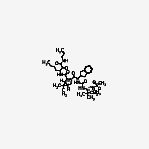 C=CCNC(=O)C(=O)C(CCCC)NC(=O)[C@@H]1[C@@H]2[C@H](CN1C(=O)[C@@H](NC(=O)N[C@H](CN(C)S(C)(=O)=O)C(C)(C)C)C1Cc3ccccc3C1)C2(C)C